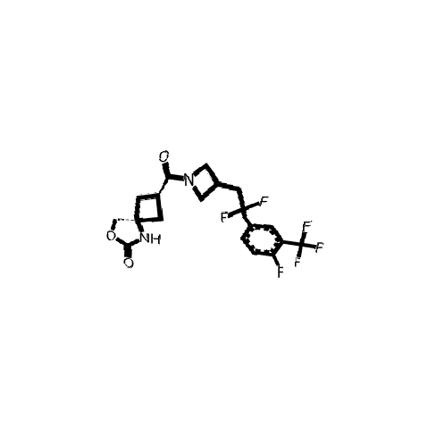 O=C1N[C@]2(CO1)C[C@H](C(=O)N1CC(CC(F)(F)c3ccc(F)c(C(F)(F)F)c3)C1)C2